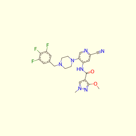 COc1nn(C)cc1C(=O)Nc1cc(C#N)ncc1N1CCN(Cc2cc(F)c(F)c(F)c2)CC1